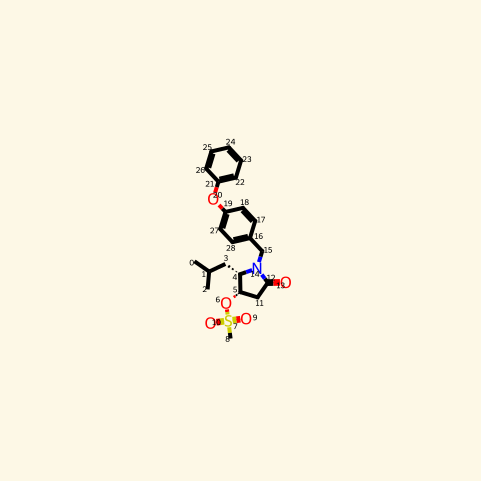 CC(C)C[C@H]1[C@@H](OS(C)(=O)=O)CC(=O)N1Cc1ccc(Oc2ccccc2)cc1